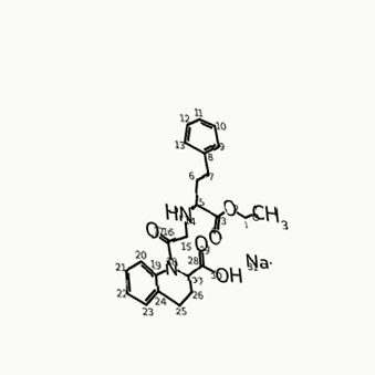 CCOC(=O)C(CCc1ccccc1)NCC(=O)N1c2ccccc2CCC1C(=O)O.[Na]